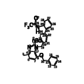 CCCCc1nc2c(C)ccc(OCc3ccccc3)c2n1Cc1ccc(-c2ccccc2NC(=O)C(F)(F)F)cc1